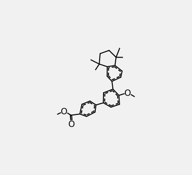 COC(=O)c1ccc(-c2ccc(OC)c(-c3ccc4c(c3)C(C)(C)CCC4(C)C)c2)cc1